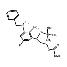 CNC(=O)OCCC(O[Si](C)(C)C(C)(C)C)c1cc(F)cc(N(C)Cc2ccccc2)c1[N+](=O)[O-]